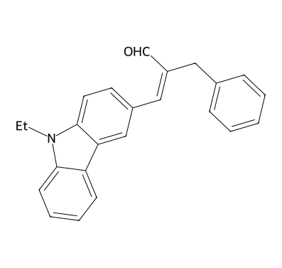 CCn1c2ccccc2c2cc(/C=C(\C=O)Cc3ccccc3)ccc21